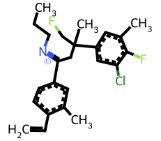 C=Cc1ccc(/C(CC(C)(CF)c2cc(C)c(F)c(Cl)c2)=N/CCC)cc1C